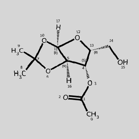 CC(=O)O[C@@H]1[C@H]2OC(C)(C)O[C@H]2O[C@@H]1CO